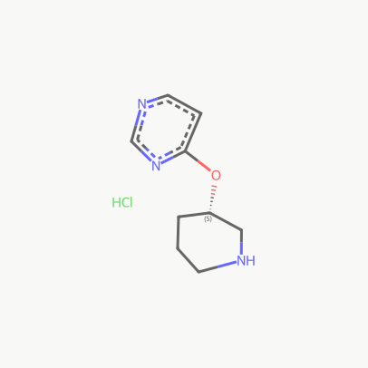 Cl.c1cc(O[C@H]2CCCNC2)ncn1